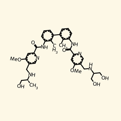 COc1cc(C(=O)Nc2cccc(-c3cccc(NC(=O)c4cc(OC)c(CN[C@@H](C)CO)cn4)c3C)c2C)ncc1CNC(CO)CO